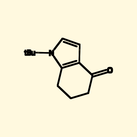 CC(C)(C)n1ccc2c1CCCC2=O